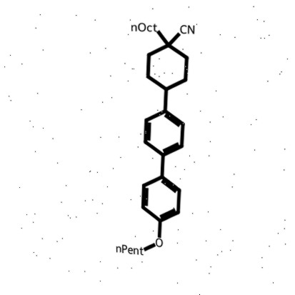 CCCCCCCCC1(C#N)CCC(c2ccc(-c3ccc(OCCCCC)cc3)cc2)CC1